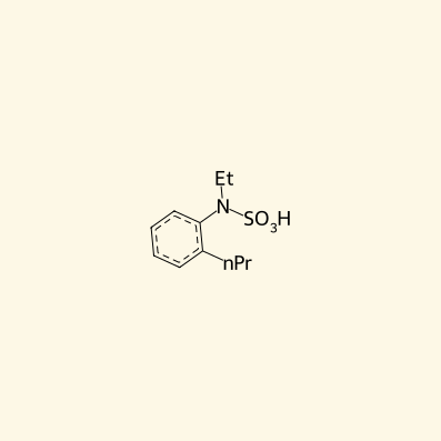 CCCc1ccccc1N(CC)S(=O)(=O)O